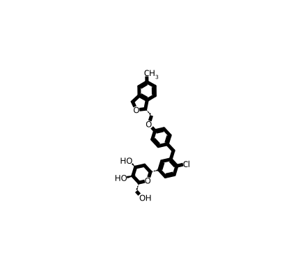 Cc1ccc2c(c1)CO[C@H]2COc1ccc(Cc2cc([C@H]3C[C@@H](O)[C@H](O)[C@@H](CO)O3)ccc2Cl)cc1